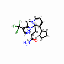 Cc1c(C(F)(F)F)cnn1C1(CCC(N)=O)C(C2CCCC2)=CC=CN1C